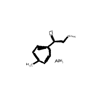 CCCCCCCC(Cl)c1ccc(C)cc1.[AlH3]